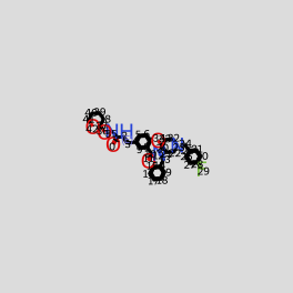 O=C(/C=C/c1ccc2c(c1)C(=O)N(Cc1ccccc1)C1(CCN(Cc3ccc(F)cc3)CC1)O2)NOC1CCCCO1